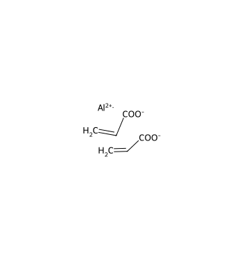 C=CC(=O)[O-].C=CC(=O)[O-].[Al+2]